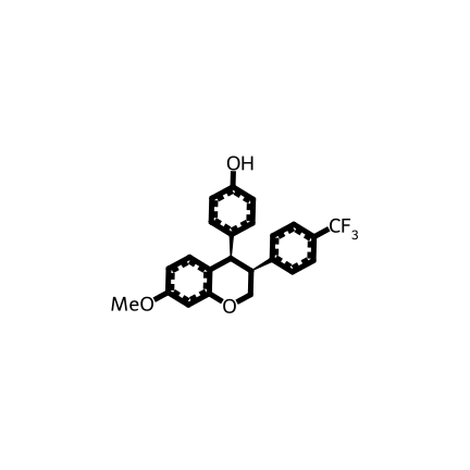 COc1ccc2c(c1)OC[C@H](c1ccc(C(F)(F)F)cc1)[C@@H]2c1ccc(O)cc1